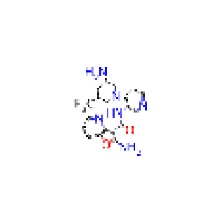 Nc1oc2cccnc2c1C(=O)Nc1cnccc1N1CC(N)CC(C(F)(F)F)C1